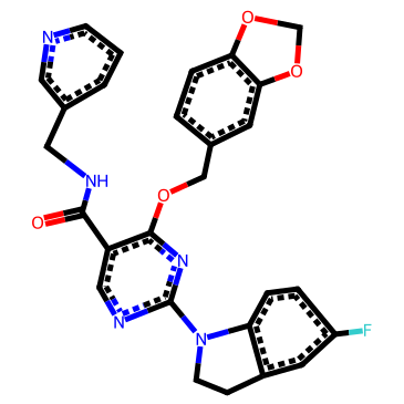 O=C(NCc1cccnc1)c1cnc(N2CCc3cc(F)ccc32)nc1OCc1ccc2c(c1)OCO2